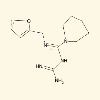 N=C(N)N/C(=N/Cc1ccco1)N1CCCCC1